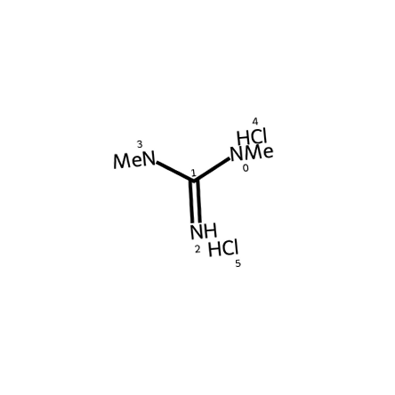 CNC(=N)NC.Cl.Cl